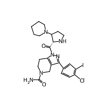 NC(=O)N1CCc2c(c(-c3ccc(Cl)c(I)c3)nn2C(=O)[C@H]2NCCC2N2CCCCC2)C1